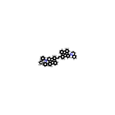 C1=CC2=C(CC1)N(c1ccc3c(c1)C1(c4ccccc4-c4ccccc41)c1cc(/C=C/c4ccc5c(c4)C4(c6ccccc6-c6ccccc64)C4C=C(N6c7ccccc7[Si]7(CCCC7)c7ccccc76)C=CC54)ccc1-3)CCC2